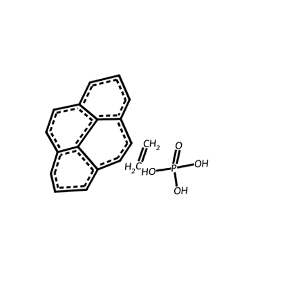 C=C.O=P(O)(O)O.c1cc2ccc3cccc4ccc(c1)c2c34